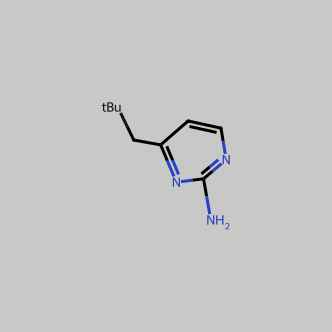 CC(C)(C)Cc1ccnc(N)n1